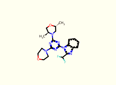 C[C@@H]1CN(c2nc(N3CCOCC3)nc(-n3c(C(F)F)nc4ccccc43)n2)[C@@H](C)CO1